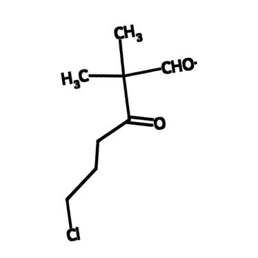 CC(C)([C]=O)C(=O)CCCCl